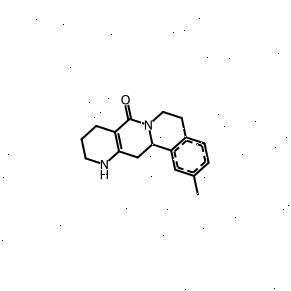 Cc1ccc2c(c1)C1CC3=C(CCCN3)C(=O)N1CC2